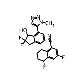 Cn1nncc1-c1ccc([C@H]2CC[C@H](F)c3cc(F)cc(C#N)c32)c2c1[C@H](O)C(F)(F)C2